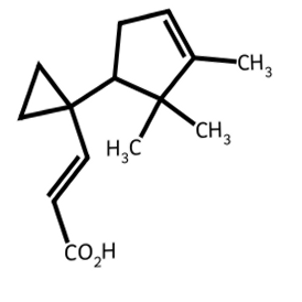 CC1=CCC(C2(/C=C/C(=O)O)CC2)C1(C)C